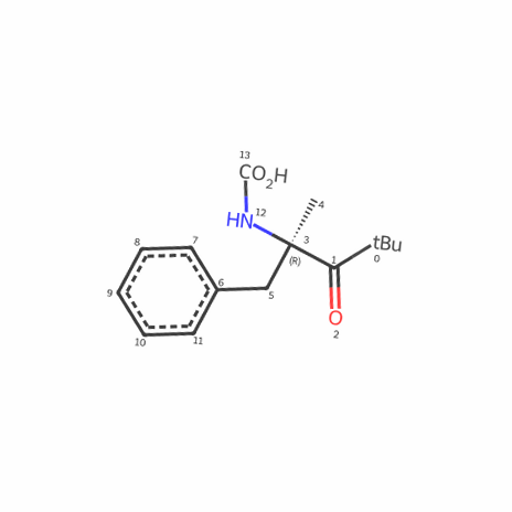 CC(C)(C)C(=O)[C@@](C)(Cc1ccccc1)NC(=O)O